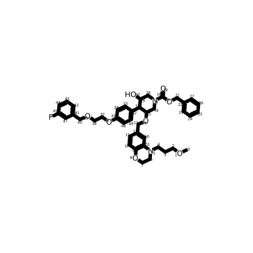 COCCCN1CCOc2ccc(COC3CN(C(=O)OCc4ccccc4)CC(O)C3c3ccc(OCCOCc4cccc(F)c4)cc3)cc21